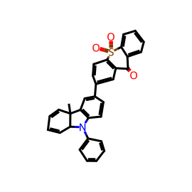 CC12C=CC=CC1N(c1ccccc1)c1ccc(-c3ccc4c(c3)C(=O)c3ccccc3S4(=O)=O)cc12